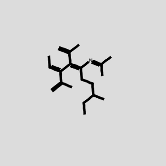 C=C(C)C(=C/C)/C(C(=C)C)=C(\CCC(C)CC)N=C(C)C